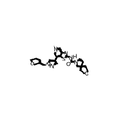 O=C(Nc1nc2cncc(-c3cnn(CC4CCCOC4)c3)c2s1)N1CCC2(CCOCC2)C1